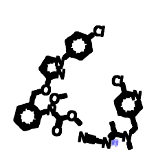 C/C(=N\C#N)N(C)Cc1ccc(Cl)nc1.COC(=O)N(OC)c1ccccc1COc1ccn(-c2ccc(Cl)cc2)n1